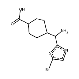 NC(c1ncc(Br)s1)C1CCC(C(=O)O)CC1